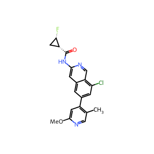 COc1cc(-c2cc(Cl)c3cnc(NC(=O)[C@@H]4C[C@@H]4F)cc3c2)c(C)cn1